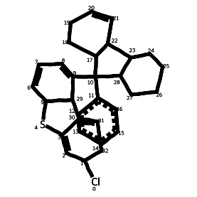 ClC1C=C2SC3C=CC=C(C4(c5ccccc5)C5CCC=CC5C5CCCCC54)C3C2=CC1